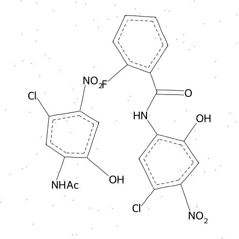 CC(=O)Nc1cc(Cl)c([N+](=O)[O-])cc1O.O=C(Nc1cc(Cl)c([N+](=O)[O-])cc1O)c1ccccc1F